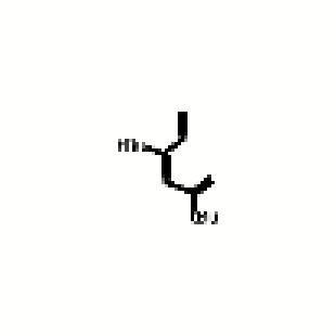 C=C/C(=C\C(=C)C(C)(C)C)C(C)(C)C